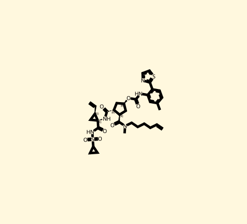 C=CCCCCN(C)C(=O)[C@@H]1C[C@H](OC(=O)Nc2cc(C)ccc2-c2nccs2)C[C@H]1C(=O)N[C@]1(C(=O)NS(=O)(=O)C2CC2)C[C@H]1C=C